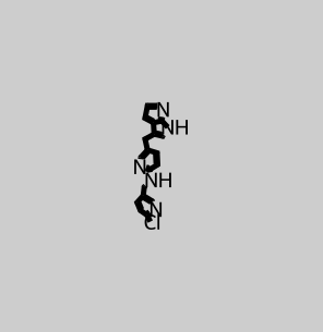 Clc1ccc(CNc2ccc(Cc3c[nH]c4ncccc34)cn2)cn1